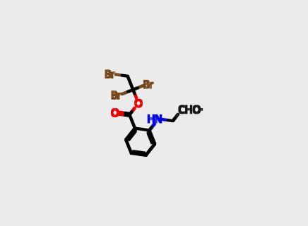 O=[C]CNc1ccccc1C(=O)OC(Br)(Br)CBr